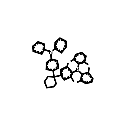 Cc1cccc(C)c1B(c1c(C)cccc1C)c1c(C)cc(C2(c3ccc(N(c4ccccc4)c4ccccc4)cc3)CCCCC2)cc1C